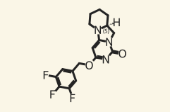 O=c1nc(OCc2cc(F)c(F)c(F)c2)cc2n1C[C@@H]1CCCCN21